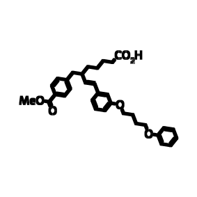 COC(=O)c1ccc(CC(/C=C/c2cccc(OCCCCOc3ccccc3)c2)CCCCC(=O)O)cc1